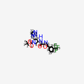 CC(C)(C)OC(=O)N1C[C@H](NC(=O)c2ncc(-c3cccc(C(F)(F)F)c3)o2)C[C@H]1Cn1ccnn1